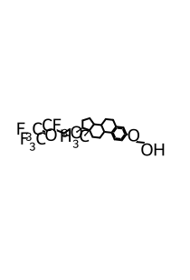 C[C@]12CCC3c4ccc(OCCO)cc4CCC3C1CC[C@@H]2OCCCOC(C(F)(F)F)(C(F)(F)F)C(F)(F)F